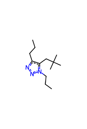 CCCc1nnn(CCC)c1CC(C)(C)C